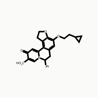 CC(C)C1Cc2cc(OCCC3CC3)c3c(c2-c2cc(=O)c(C(=O)O)cn21)CCO3